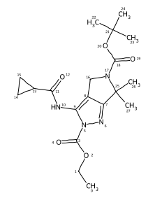 CCOC(=O)n1nc2c(c1NC(=O)C1CC1)CN(C(=O)OC(C)(C)C)C2(C)C